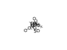 Cc1cc(-c2c(Nc3ccc(C(C)(C)C)cc3)ccc3ccccc23)c2c(c1)N(c1ccc(-c3ccccc3)cc1C)c1cc3sc4ccccc4c3cc1B2